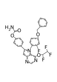 NC(=O)Oc1ccc(-c2cc3ncnc(OC(F)C(F)F)c3n2-c2ccc(OCc3ccccc3)cc2F)cc1